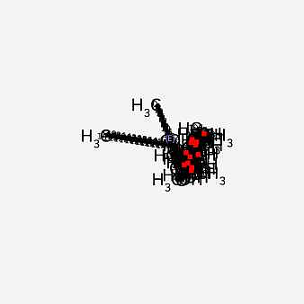 CCCCCCCCCCCCC/C=C/[C@@H](O)[C@H](CO[C@@H]1OC(CO)[C@@H](O[C@@H]2OC(CO)[C@H](O[C@@H]3OC(CO)[C@H](O)[C@H](O)C3NC(C)=O)[C@H](O[C@]3(C(=O)O)CC(O)[C@@H](NC(C)=O)C([C@H](O)[C@@H](CO)O[C@]4(C(=O)O)CC(O)[C@@H](NC(C)=O)C([C@H](O)[C@@H](CO)O[C@]5(C(=O)O)CC(O)[C@@H](NC(C)=O)C([C@H](O)[C@H](O)CO)O5)O4)O3)C2O)[C@H](O)C1O)NC(=O)CCCCCCCCCCCCCCCCCCCCCCC